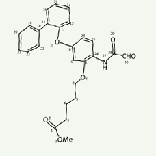 COC(=O)CCCCOc1cc(Oc2ccccc2-c2ccccc2)ccc1NC(=O)C=O